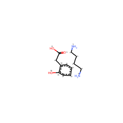 NCCCCN.O=C(O)Cc1ccccc1O